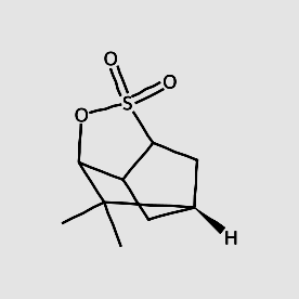 CC1(C)C2OS(=O)(=O)C3C[C@@H]1CC23